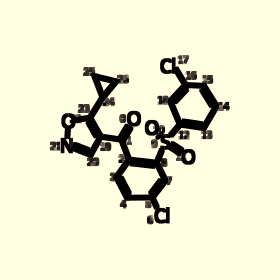 O=C(c1ccc(Cl)cc1S(=O)(=O)c1cccc(Cl)c1)c1cnoc1C1CC1